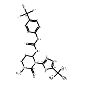 CN1CCC(OC(=O)Oc2ccc(C(F)(F)F)cc2)N(c2nnc(C(C)(C)C)s2)C1=O